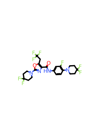 O=C(Nc1ccc(N2CCC(F)(F)CC2)c(F)c1)c1nc(N2CCC(F)(F)CC2)oc1CC(F)(F)F